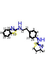 CC1CCSC(Nc2ccc(CCNc3nc4ccccc4s3)cc2)=N1